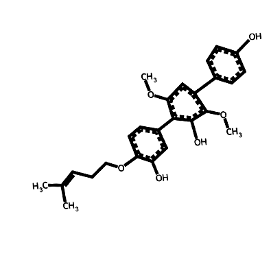 COc1cc(-c2ccc(O)cc2)c(OC)c(O)c1-c1ccc(OCCC=C(C)C)c(O)c1